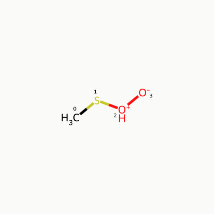 CS[OH+][O-]